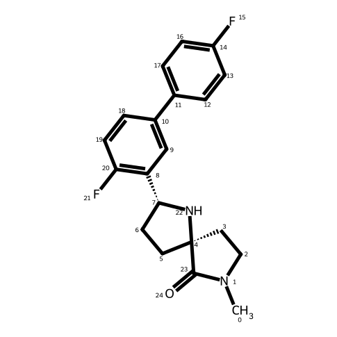 CN1CC[C@@]2(CC[C@H](c3cc(-c4ccc(F)cc4)ccc3F)N2)C1=O